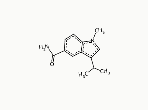 CC(C)c1cn(C)c2ccc(C(N)=O)cc12